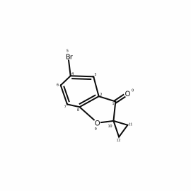 O=C1c2cc(Br)ccc2OC12CC2